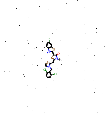 CCn1c(=O)/c(=C2\Sc3cc(F)ccc3N2C)s/c1=C\c1scc[n+]1Cc1c(Cl)cccc1Cl